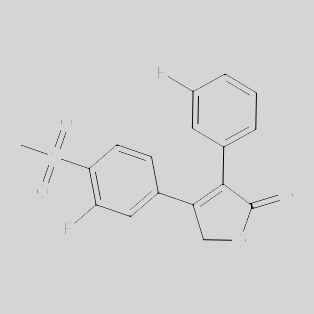 CS(=O)(=O)c1ccc(C2=C(c3cccc(F)c3)C(=O)OC2)cc1F